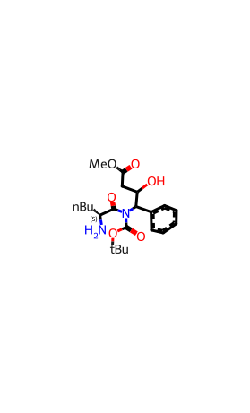 CCCC[C@H](N)C(=O)N(C(=O)OC(C)(C)C)C(c1ccccc1)C(O)CC(=O)OC